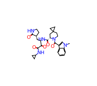 Cn1cc(C(=O)N2CCC3(CC3)C[C@H]2C(=O)NC(C[C@@H]2CCNC2=O)C(=O)C(=O)NC2CC2)c2ccccc21